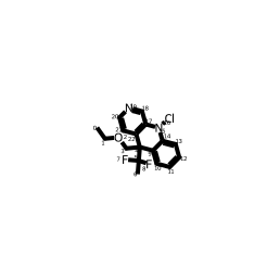 CCOCC1(C(C)(F)F)c2ccccc2N(Cl)c2cnccc21